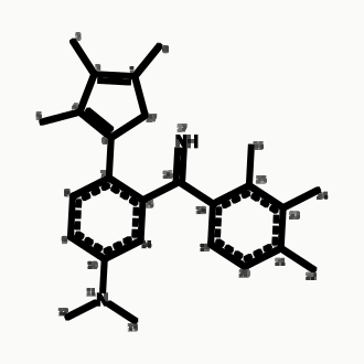 CC1=C(C)C(C)=C(c2ccc(N(C)C)cc2C(=N)c2ccc(C)c(C)c2C)C1